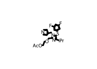 CC(=O)OCCOCc1nc(C(C)C)c(Sc2cc(F)cc(F)c2)n1Cc1ccncc1